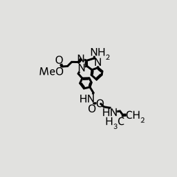 C=C(C)CNCCOC(=O)NCc1ccc(Cn2c(CCC(=O)OC)nc3c(N)nc4ccccc4c32)cc1